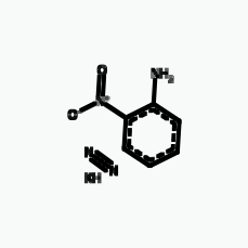 N#N.Nc1ccccc1[N+](=O)[O-].[KH]